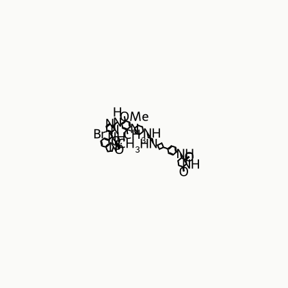 COc1cc(N2CCC(NCCNC3CC(c4ccc(NC5CCC(=O)NC5=O)cc4)C3)CC2)c(C)cc1Nc1ncc(Br)c(Nc2cccc3c2N(S(C)(=O)=O)CC3)n1